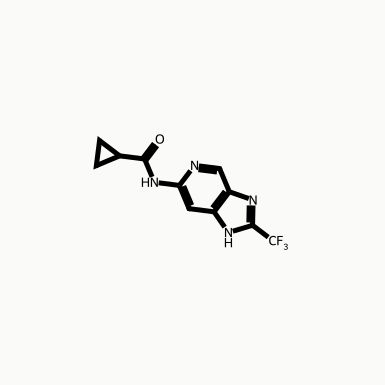 O=C(Nc1cc2[nH]c(C(F)(F)F)nc2cn1)C1CC1